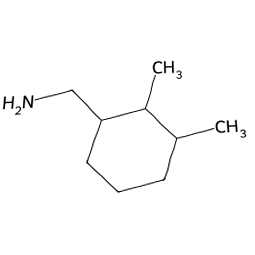 CC1CCCC(CN)C1C